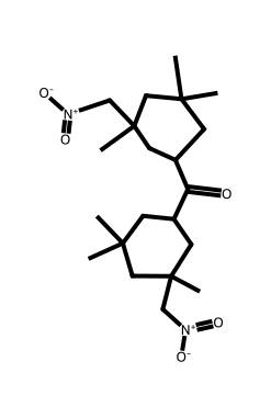 CC1(C)CC(C(=O)C2CC(C)(C)CC(C)(C[N+](=O)[O-])C2)CC(C)(C[N+](=O)[O-])C1